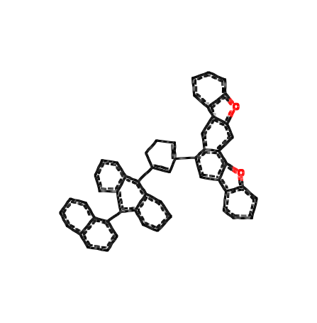 C1=C(c2c3ccccc3c(-c3cccc4ccccc34)c3ccccc23)CCC=C1c1cc2c3ccccc3oc2c2cc3oc4ccccc4c3cc12